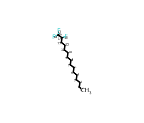 CCCCCCCCCCCCCCC(F)[C](F)F